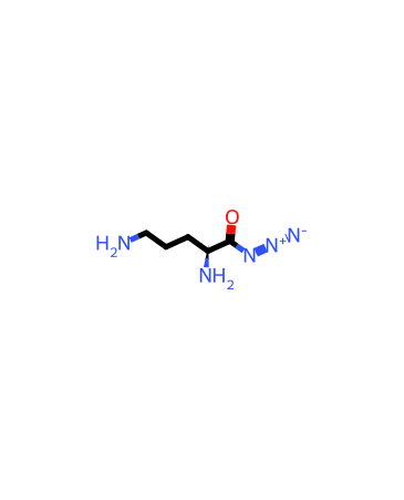 [N-]=[N+]=NC(=O)[C@@H](N)CCCN